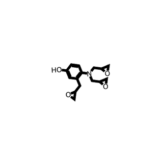 Oc1ccc(N(CC2CO2)CC2CO2)c(CC2CO2)c1